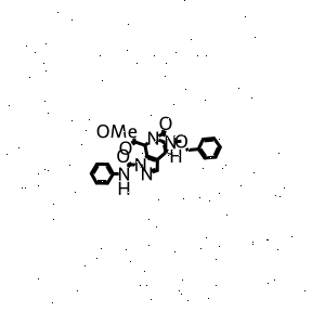 COC(=O)C1c2c(cnn2C(=O)Nc2ccccc2)[C@H]2CN1C(=O)N2OCc1ccccc1